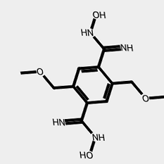 COCc1cc(C(=N)NO)c(COC)cc1C(=N)NO